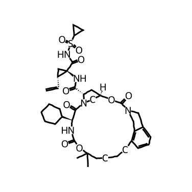 C=C[C@@H]1C[C@]1(NC(=O)[C@@H]1C[C@@H]2CN1C(=O)[C@H](C1CCCCC1)NC(=O)OC(C)(C)CCCCc1cccc3c1CN(C3)C(=O)O2)C(=O)NS(=O)(=O)C1CC1